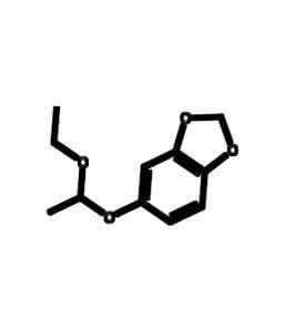 CCOC(C)Oc1ccc2c(c1)OCO2